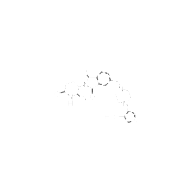 Cc1cscc1N1CCN(Cc2ccc3c(c2)C(=O)N(C2CCC(=O)NC2=O)C3=O)CC1